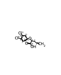 C=CCC(Oc1ccc(Cl)c(Cl)c1)C(=O)O